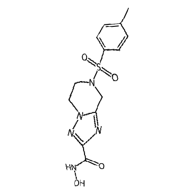 Cc1ccc(S(=O)(=O)N2CCn3nc(C(=O)NO)nc3C2)cc1